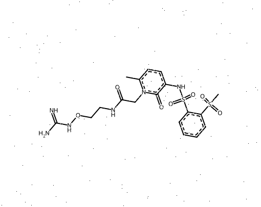 Cc1ccc(NS(=O)(=O)c2ccccc2S(C)(=O)=O)c(=O)n1CC(=O)NCCONC(=N)N